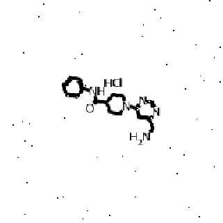 Cl.NCc1cc(N2CCC(C(=O)Nc3ccccc3)CC2)ncn1